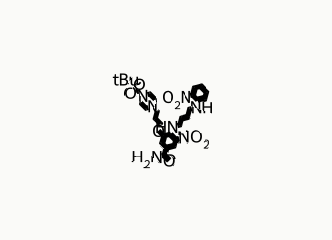 CC(C)(C)OC(=O)N1CCN(CCCOc2cc(C(N)=O)cc([N+](=O)[O-])c2NC/C=C/CNc2ccccc2[N+](=O)[O-])CC1